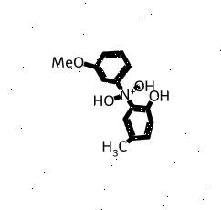 COc1cccc([N+](O)(O)c2cc(C)ccc2O)c1